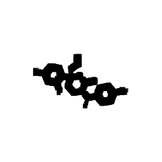 C=CC[C@]1(c2ccc(F)cc2F)CCN([C@@H](C)c2ccc(Br)cc2)C(=O)O1